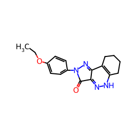 CCOc1ccc(-n2nc3c4c([nH]nc-3c2=O)CCCC4)cc1